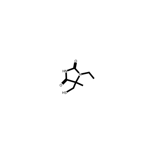 CCN1C(=O)NC(=O)C1(C)CS